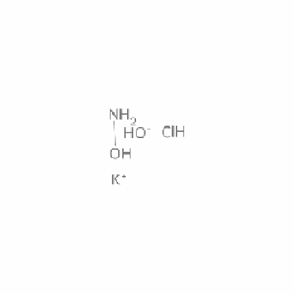 Cl.NO.[K+].[OH-]